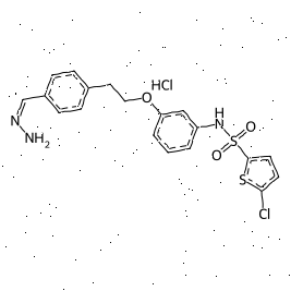 Cl.N/N=C\c1ccc(CCOc2cccc(NS(=O)(=O)c3ccc(Cl)s3)c2)cc1